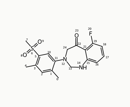 Cc1cc(C)c(S(C)(=O)=O)cc1N1CNc2cccc(F)c2C(=O)C1